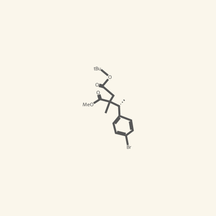 COC(=O)C(C)(CC(=O)OC(C)(C)C)[C@H](C)c1ccc(Br)cc1